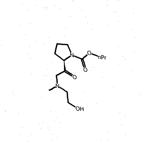 CCCOC(=O)N1CCC[C@@H]1C(=O)CN(C)CCO